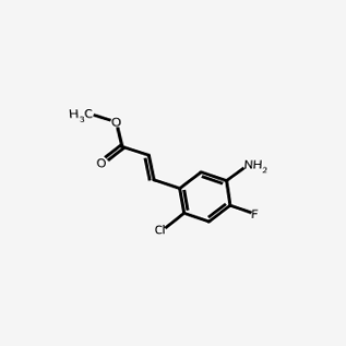 COC(=O)C=Cc1cc(N)c(F)cc1Cl